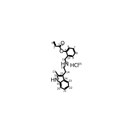 C=CC(=O)Oc1ccccc1CNCCc1c(C)[nH]c2ccccc12.Cl